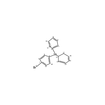 Brc1ccc(N(c2ccccn2)C2C=CC=CC2)cc1